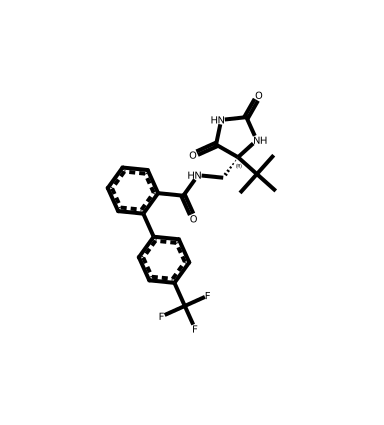 CC(C)(C)[C@]1(CNC(=O)c2ccccc2-c2ccc(C(F)(F)F)cc2)NC(=O)NC1=O